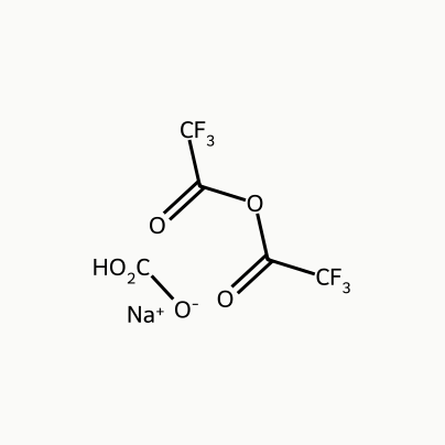 O=C(OC(=O)C(F)(F)F)C(F)(F)F.O=C([O-])O.[Na+]